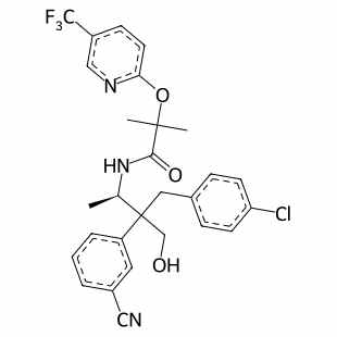 C[C@@H](NC(=O)C(C)(C)Oc1ccc(C(F)(F)F)cn1)C(CO)(Cc1ccc(Cl)cc1)c1cccc(C#N)c1